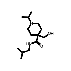 CC(C)CNC(=O)C1(CO)CCN(C(C)C)CC1